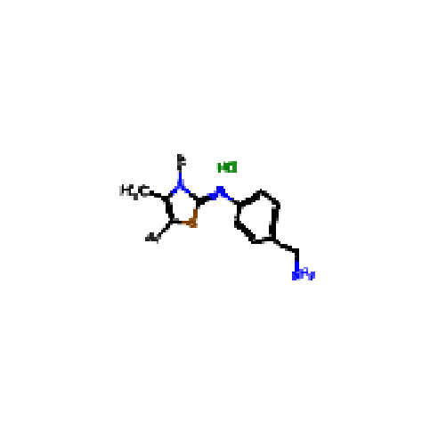 CCn1c(C)c(C(C)=O)s/c1=N\c1ccc(CN)cc1.Cl